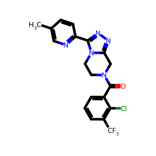 Cc1ccc(-c2nnc3n2CCN(C(=O)c2cccc(C(F)(F)F)c2Cl)C3)nc1